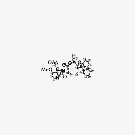 COc1ccnc(C(=O)N[C@H]2CCCC[C@H](Cc3ccccc3)[C@@H](Oc3ccccc3)[C@H](C)OC2=O)c1OCOC(C)=O